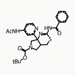 CC(=O)Nc1ccnc(C23CN(C(=O)OC(C)(C)C)CC2CSC(NC(=O)c2ccccc2)=N3)c1